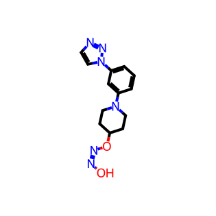 O/N=N\OC1CCN(c2cccc(-n3ccnn3)c2)CC1